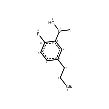 CB(O)c1cc(CCC(C)(C)C)ccc1F